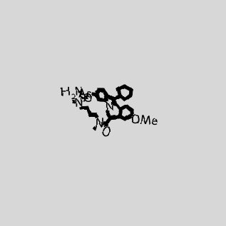 COC1=CC2C=C(C(=O)N(C)CCCCN(C)[S+](N)[O-])Cn3c(c(C4CCCCC4)c4ccc(C(C)=O)cc43)C2C=C1